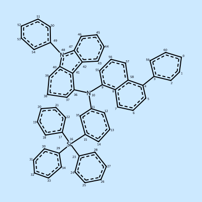 c1ccc(-c2cccc3c(N(c4cccc([Si](c5ccccc5)(c5ccccc5)c5ccccc5)c4)c4cccc5c4c4ccccc4n5-c4ccccc4)cccc23)cc1